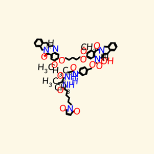 COc1cc2c(cc1OCCCCCOc1cc3c(cc1OC)C(=O)N1Cc4ccccc4C[C@H]1C(O)N3C(=O)OCc1ccc(NC(=O)[C@H](C)NC(=O)[C@@H](NC(=O)CCCCCN3C(=O)C=CC3=O)C(C)C)cc1)N=C[C@@H]1Cc3ccccc3CN1C2=O